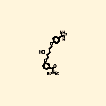 CCN(CC)C(=O)c1cccc(OCCCCCOc2ccc(C(=N)N)cc2)c1.Cl